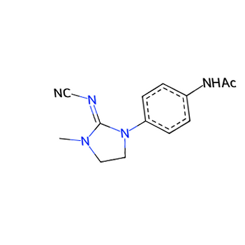 CC(=O)Nc1ccc(N2CCN(C)C2=NC#N)cc1